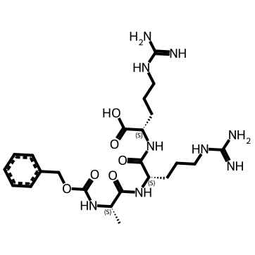 C[C@H](NC(=O)OCc1ccccc1)C(=O)N[C@@H](CCCNC(=N)N)C(=O)N[C@@H](CCCNC(=N)N)C(=O)O